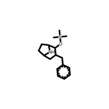 C[Si](C)(C)OC1C(Cc2ccccc2)CC2CCC1N2